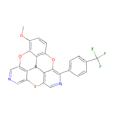 COc1ccc2c3c1Oc1cncc4c1B3c1c(cnc(-c3ccc(C(F)(F)F)cc3)c1O2)S4